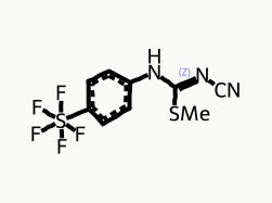 CS/C(=N\C#N)Nc1ccc(S(F)(F)(F)(F)F)cc1